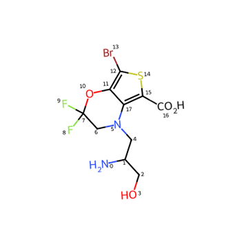 NC(CO)CN1CC(F)(F)Oc2c(Br)sc(C(=O)O)c21